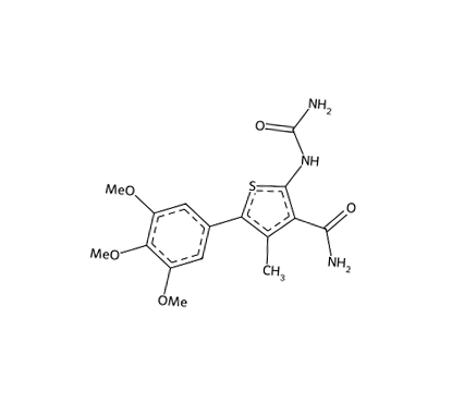 COc1cc(-c2sc(NC(N)=O)c(C(N)=O)c2C)cc(OC)c1OC